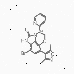 Cc1noc(C)c1-c1cc(Br)c2[nH]c(=O)n3c2c1OC[C@@H]3c1ccccn1